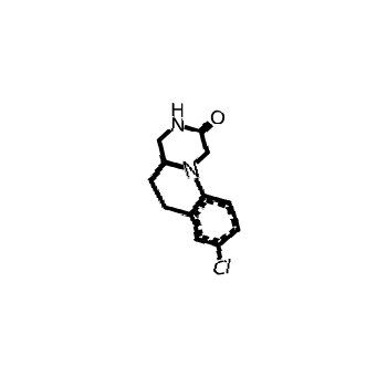 O=C1CN2c3ccc(Cl)cc3CCC2CN1